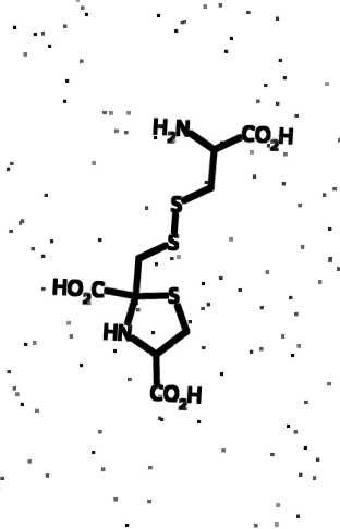 NC(CSSCC1(C(=O)O)NC(C(=O)O)CS1)C(=O)O